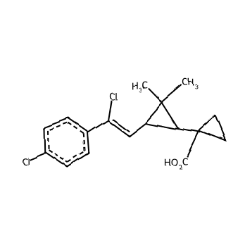 CC1(C)C(C=C(Cl)c2ccc(Cl)cc2)C1C1(C(=O)O)CC1